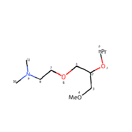 CCCOC(COC)COCCN(C)C